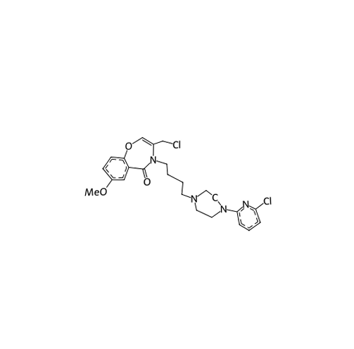 COc1ccc2c(c1)C(=O)N(CCCCN1CCN(c3cccc(Cl)n3)CC1)C(CCl)=CO2